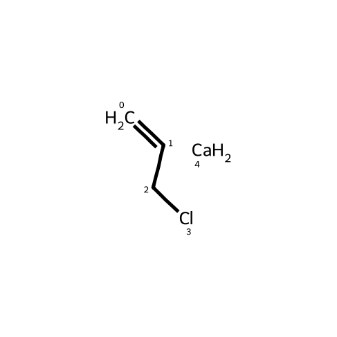 C=CCCl.[CaH2]